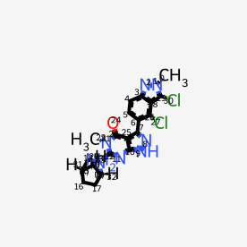 Cn1nc2ccc(-c3n[nH]c4nc(N5C[C@H]6CC[C@@H]5[C@@H]6N)n(C)c(=O)c34)c(Cl)c2c1Cl